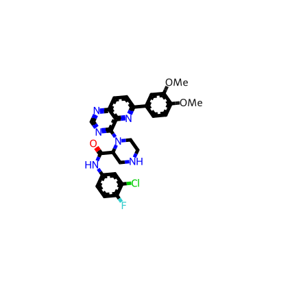 COc1ccc(-c2ccc3ncnc(N4CCNCC4C(=O)Nc4ccc(F)c(Cl)c4)c3n2)cc1OC